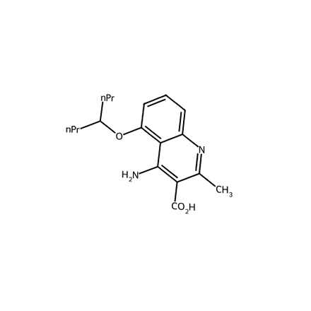 CCCC(CCC)Oc1cccc2nc(C)c(C(=O)O)c(N)c12